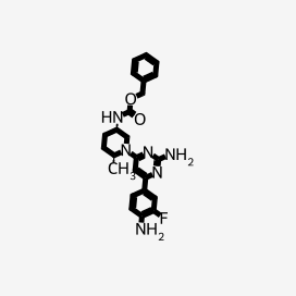 C[C@@H]1CC[C@H](NC(=O)OCc2ccccc2)CN1c1cc(-c2ccc(N)c(F)c2)nc(N)n1